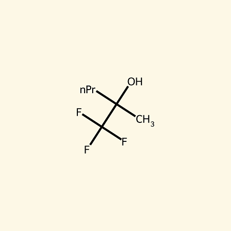 CCCC(C)(O)C(F)(F)F